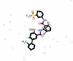 COc1cc(F)c(-c2ccccc2C)cc1C(=O)N[C@H]1[C@@H](C(=O)Nc2cccc(S(=O)(=O)C(F)(F)F)c2)[C@@H]2C=C[C@H]1C2